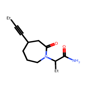 CCC#CC1CCCN(C(CC)C(N)=O)C(=O)C1